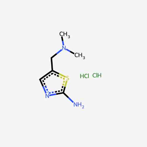 CN(C)Cc1cnc(N)s1.Cl.Cl